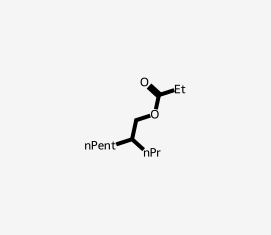 CCCCCC(CCC)COC(=O)CC